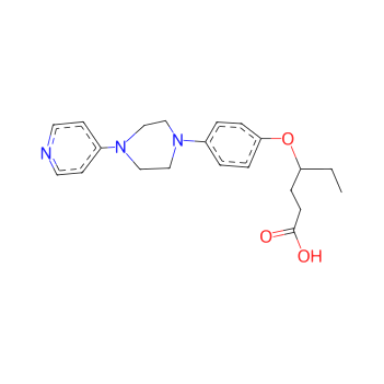 CCC(CCC(=O)O)Oc1ccc(N2CCN(c3ccncc3)CC2)cc1